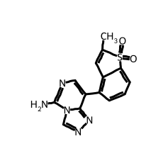 CC1=Cc2c(-c3cnc(N)n4cnnc34)cccc2S1(=O)=O